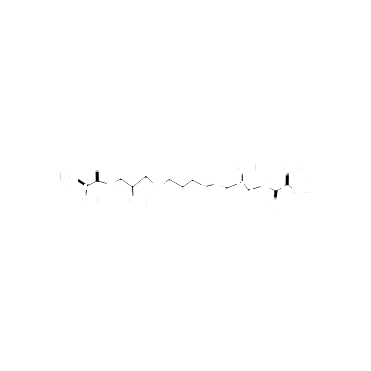 C=C(C)C(=O)OCC(O)COCCCCOCC(O)COC(=O)C(=C)C